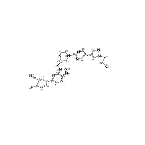 N#Cc1cc(-c2cnc3nnn(C[C@@H]4CN(c5ncc(-c6cnn(CCO)c6)cn5)CCO4)c3n2)ccc1F